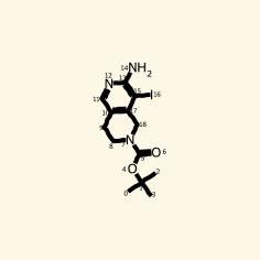 CC(C)(C)OC(=O)N1CCc2cnc(N)c(I)c2C1